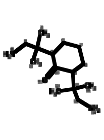 CC(C)(CN)C1CCCC(C(C)(C)CN)C1=O